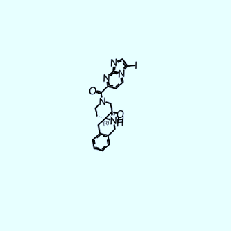 O=C(c1ccn2c(I)cnc2n1)N1CC[C@]2(Cc3ccccc3CN2)[C@H](O)C1